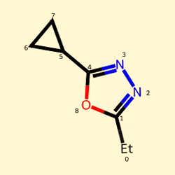 CCc1nnc(C2CC2)o1